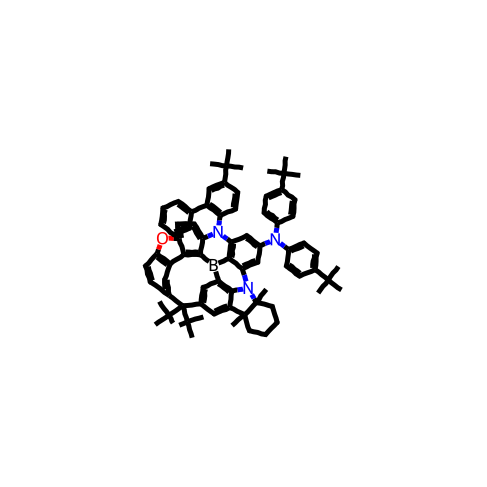 CC(C)(C)c1ccc(N(c2ccc(C(C)(C)C)cc2)c2cc3c4c(c2)N2c5c6cc(cc5C5(C)CCCCC25C)C(C(C)(C)C)(C(C)(C)C)c2ccc5oc7ccc(c(c7c5c2)B64)N3c2ccc(C(C)(C)C)cc2-c2ccccc2)cc1